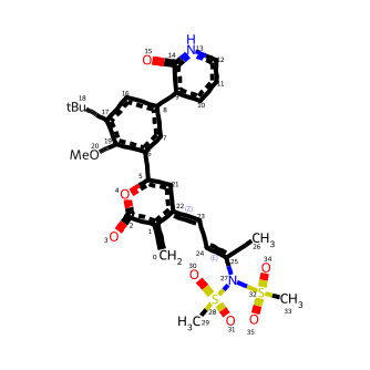 C=c1c(=O)oc(-c2cc(-c3ccc[nH]c3=O)cc(C(C)(C)C)c2OC)c/c1=C/C=C(\C)N(S(C)(=O)=O)S(C)(=O)=O